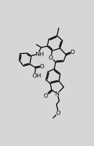 COCCN1Cc2cc(-c3cc(=O)c4cc(C)cc(C(C)Nc5ccccc5C(=O)O)c4o3)ccc2C1=O